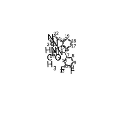 CC(=O)NC1(NCc2ccc(F)c(F)c2)c2ccccc2-c2cncn21